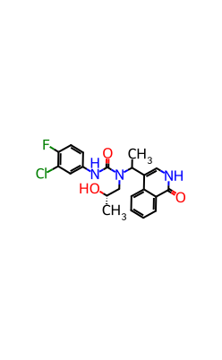 CC(c1c[nH]c(=O)c2ccccc12)N(C[C@H](C)O)C(=O)Nc1ccc(F)c(Cl)c1